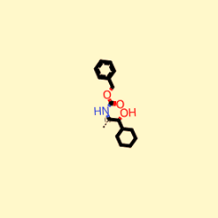 C[C@H](NC(=O)OCc1ccccc1)C(O)C1CCCCC1